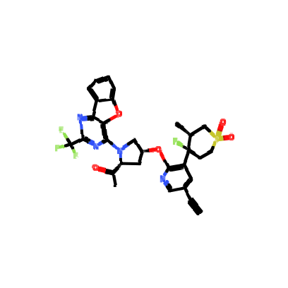 C#Cc1cnc(O[C@H]2C[C@@H](C(C)=O)N(c3nc(C(F)(F)F)nc4c3oc3ccccc34)C2)c([C@@]2(F)CCS(=O)(=O)C[C@@H]2C)c1